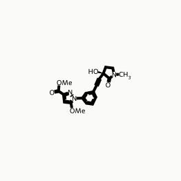 COC(=O)c1cc(OC)n(-c2cccc(C#C[C@]3(O)CCN(C)C3=O)c2)n1